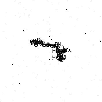 CC(=O)N1CCN(c2nc(NCCC(=O)N(C)CCOCCOCCOc3ccc4c(c3)CN(C3CCC(=O)NC3=O)C4=O)nc3c(F)c(-c4c(O)cccc4F)c(Cl)cc23)CC1